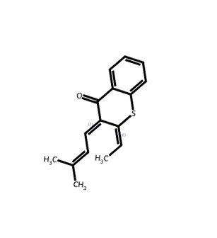 C/C=c1/sc2ccccc2c(=O)/c1=C/C=C(C)C